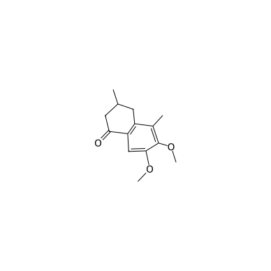 COc1cc2c(c(C)c1OC)CC(C)CC2=O